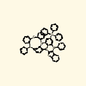 c1ccc(N2c3ccc4c(c3)N(c3ccccc3Sc3ccccc32)c2cc([Si](c3ccccc3)(c3ccccc3)c3ccccc3)cc3c2B4c2sc4ccccc4c2N3c2ccccc2)cc1